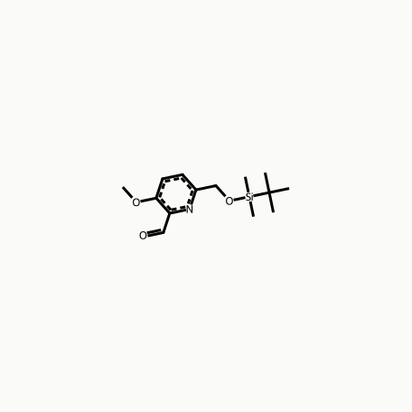 COc1ccc(CO[Si](C)(C)C(C)(C)C)nc1C=O